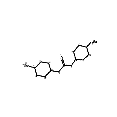 CC(C)(C)C1CCC(CC(=O)CC2CCC(C(C)(C)C)CC2)CC1